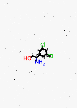 NC(CO)c1cc(Cl)cc(Cl)c1